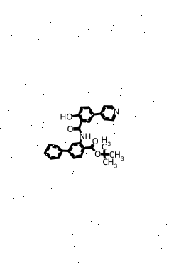 CC(C)(C)OC(=O)c1ccc(-c2ccccc2)cc1NC(=O)c1cc(-c2ccncc2)ccc1O